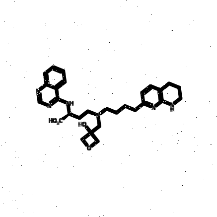 O=C(O)[C@H](CCN(CCCCc1ccc2c(n1)NCCC2)CC1(O)COC1)Nc1ncnc2ccccc12